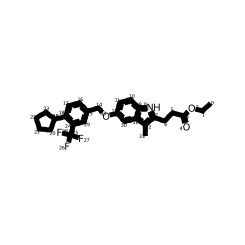 CCOC(=O)CCc1[nH]c2ccc(OCc3ccc(C4CCCC4)c(C(F)(F)F)c3)cc2c1C